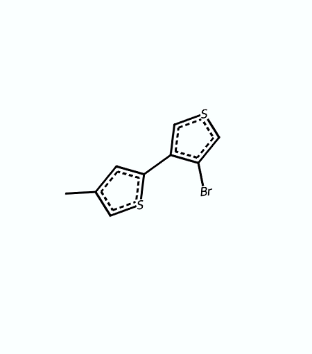 Cc1csc(-c2cscc2Br)c1